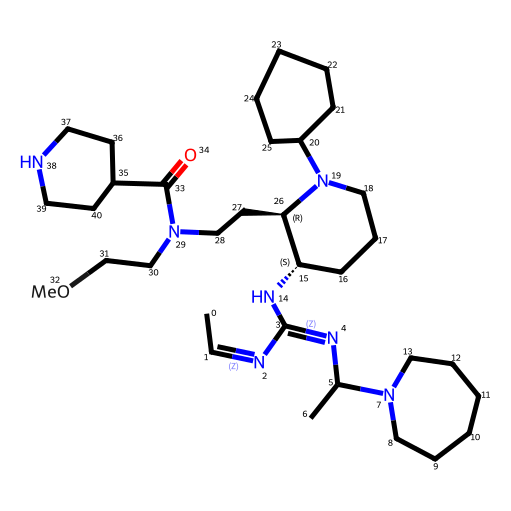 C/C=N\C(=N/C(C)N1CCCCCC1)N[C@H]1CCCN(C2CCCCC2)[C@@H]1CCN(CCOC)C(=O)C1CCNCC1